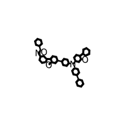 c1ccc(-c2ccc(N(c3ccc(-c4ccc5c(c4)oc4ccc6nc(-c7ccccc7)oc6c45)cc3)c3ccc4c(c3)oc3ccccc34)cc2)cc1